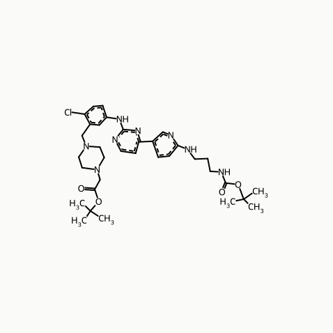 CC(C)(C)OC(=O)CN1CCN(Cc2cc(Nc3nccc(-c4ccc(NCCCNC(=O)OC(C)(C)C)nc4)n3)ccc2Cl)CC1